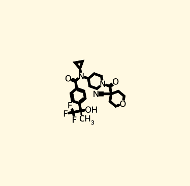 C[C@](O)(c1ccc(C(=O)N(C2CC2)C2CCN(C(=O)C3(C#N)CCOCC3)CC2)cc1)C(F)(F)F